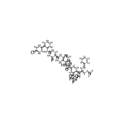 CN(C)CC[C@H](CSc1ccccc1)Nc1ccc(S(=O)(=O)Nc2ncnc3c2CCN(C2CCN(Cc4ccccc4-c4ccc(Cl)cc4)CC2F)C3)cc1S(=O)(=O)C(F)(F)F